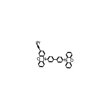 CC(C)C#Cc1ccc2c(c1)Oc1ccccc1N2c1ccc(-c2ccc(N3c4ccccc4Oc4ccccc43)cc2)cc1